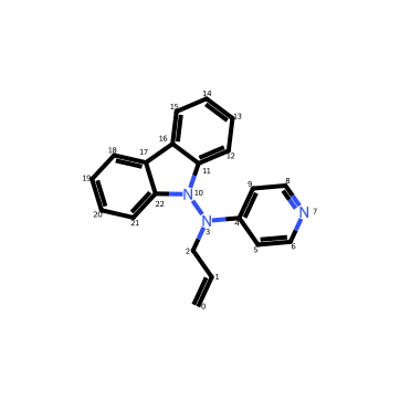 C=CCN(c1ccncc1)n1c2ccccc2c2ccccc21